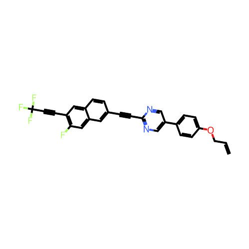 C=CCOc1ccc(-c2cnc(C#Cc3ccc4cc(C#CC(F)(F)F)c(F)cc4c3)nc2)cc1